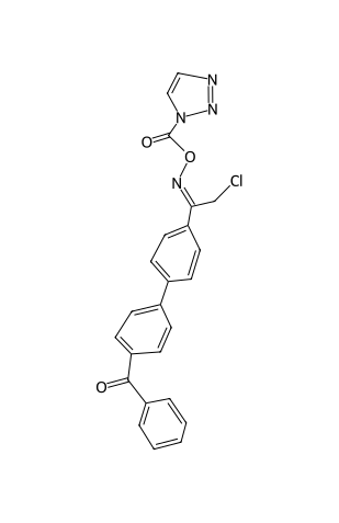 O=C(c1ccccc1)c1ccc(-c2ccc(/C(CCl)=N/OC(=O)n3ccnn3)cc2)cc1